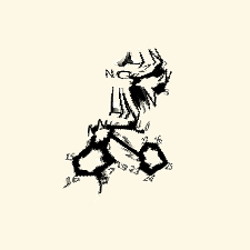 C[C@H](Nc1ncnc(N)c1C#N)c1nnc2ccc(F)cc2c1-c1ccccc1